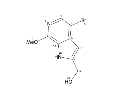 COc1ncc(Br)c2cc(CO)[nH]c12